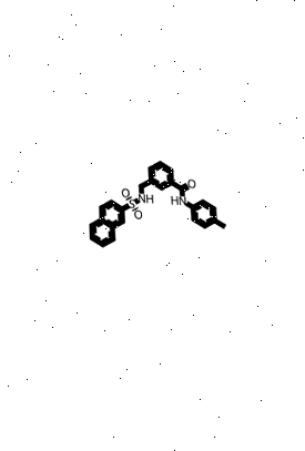 Cc1ccc(NC(=O)c2cccc(CNS(=O)(=O)c3ccc4ccccc4c3)c2)cc1